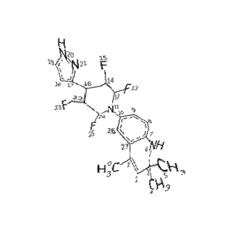 CC1=CC(C)(C)Nc2ccc(N3C(F)C(F)C(c4cc[nH]n4)C(F)C3F)cc21